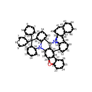 c1ccc(C2(c3ccccc3)c3ccccc3N3c4cc5oc6ccccc6c5c5c4B(c4cccc2c43)n2c3ccc4ccccc4c3c3cccc-5c32)cc1